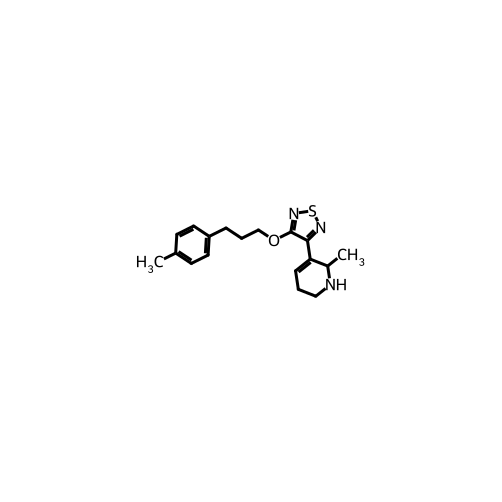 Cc1ccc(CCCOc2nsnc2C2=CCCNC2C)cc1